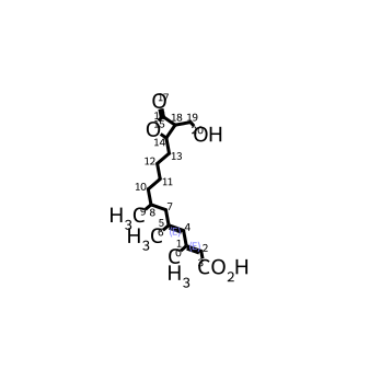 CC(=C\C(=O)O)/C=C(\C)CC(C)CCCCC1OC(=O)C1CO